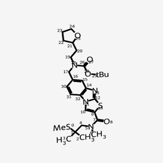 CSC(C)(C)CN(C)C(=O)c1cn2c(nc3cc(CN(CCC4CCCO4)C(=O)OC(C)(C)C)ccc32)s1